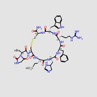 CCCC[C@@H](C(=O)N[C@H]1CSSC[C@@H](C(N)=O)NC(=O)[C@H](Cc2c[nH]c3ccccc23)NC(=O)[C@H](CCCNC(=N)N)NC(=O)[C@@H](Cc2ccccc2)NC(=O)[C@H](CC2CN=CN2)NC(=O)[C@H](CCC(=O)O)NC1=O)N1C(=O)CNC1=O